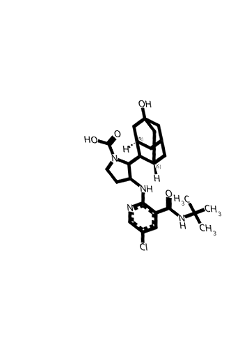 CC(C)(C)NC(=O)c1cc(Cl)cnc1NC1CCN(C(=O)O)C1C1[C@@H]2CC3C[C@H]1CC(O)(C3)C2